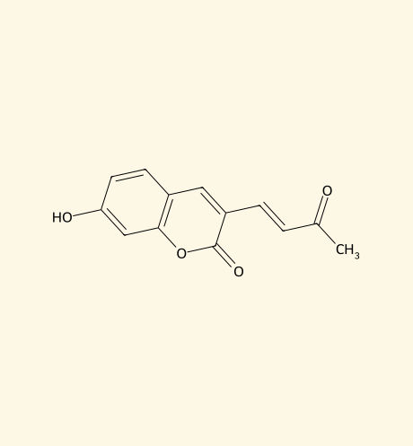 CC(=O)/C=C/c1cc2ccc(O)cc2oc1=O